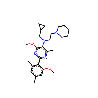 COc1cc(C)cc(C)c1-c1nc(C)c(N(CCN2CCCCC2)CC2CC2)c(OC)n1